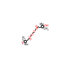 Cc1cc(CCC(=O)OCCOCCOCCOC(=O)CCc2cc(C)c(OI)c(C(C)(C)C)c2)cc(C(C)(C)C)c1O